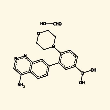 Nc1cnnc2cc(-c3cc(B(O)O)ccc3N3CCOCC3)ccc12.O=CO